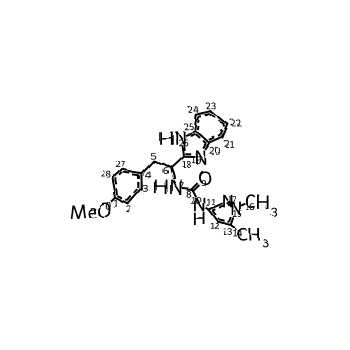 COc1ccc(CC(NC(=O)Nc2cc(C)n(C)n2)c2nc3ccccc3[nH]2)cc1